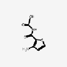 Nc1ccsc1C(=O)NC(=O)O